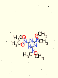 CON(C)c1nc(N(C)OC)nc(N(OC)OC)n1